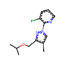 [CH2]c1cn(-c2ncccc2F)nc1COC(C)C